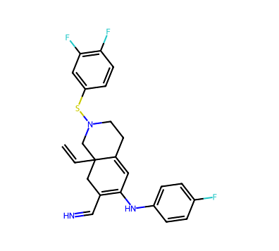 C=CC12CC(C=N)=C(Nc3ccc(F)cc3)C=C1CCN(Sc1ccc(F)c(F)c1)C2